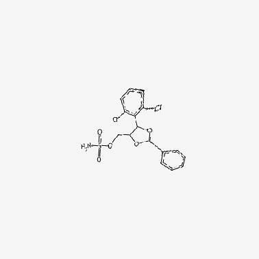 NS(=O)(=O)OCC1OC(c2ccccc2)OC1c1c(Cl)cccc1Cl